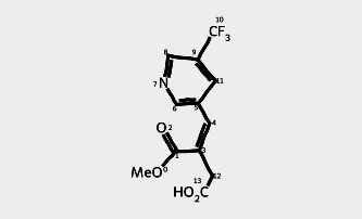 COC(=O)/C(=C\c1cncc(C(F)(F)F)c1)CC(=O)O